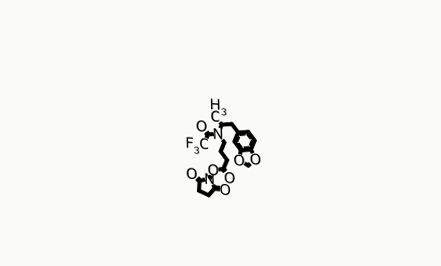 CC(Cc1ccc2c(c1)OCO2)N(CCCC(=O)ON1C(=O)CCC1=O)C(=O)C(F)(F)F